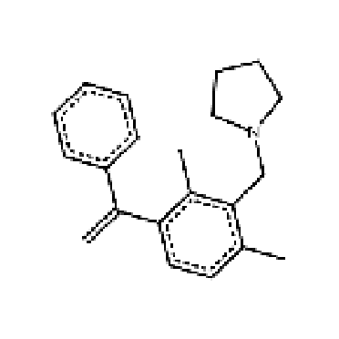 C=C(c1ccccc1)c1ccc(C)c(CN2CCCC2)c1C